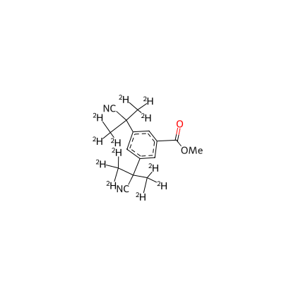 [2H]C([2H])([2H])C(C#N)(c1cc(C(=O)OC)cc(C(C#N)(C([2H])([2H])[2H])C([2H])([2H])[2H])c1)C([2H])([2H])[2H]